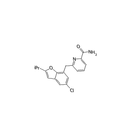 CC(C)c1cc2cc(Cl)cc(Cc3cccc(C(N)=O)n3)c2o1